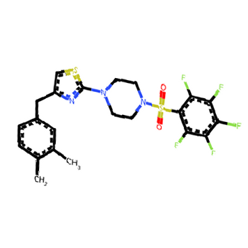 Cc1ccc(Cc2csc(N3CCN(S(=O)(=O)c4c(F)c(F)c(F)c(F)c4F)CC3)n2)cc1C